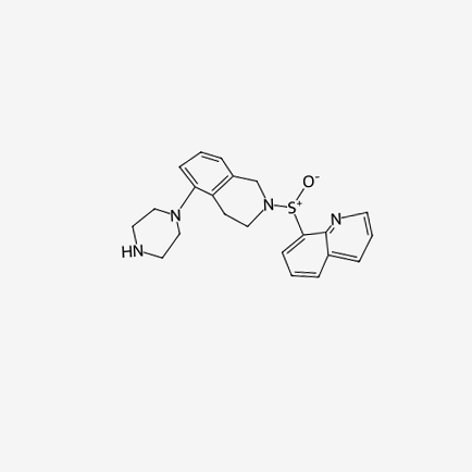 [O-][S+](c1cccc2cccnc12)N1CCc2c(cccc2N2CCNCC2)C1